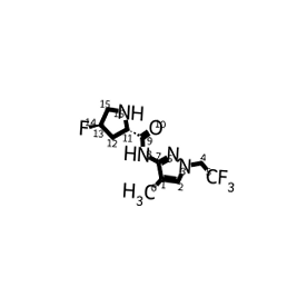 Cc1cn(CC(F)(F)F)nc1NC(=O)[C@@H]1C[C@@H](F)CN1